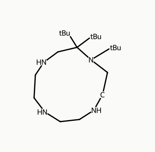 CC(C)(C)N1CCNCCNCCNCC1(C(C)(C)C)C(C)(C)C